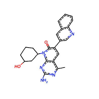 Cc1nc(N)nc2c1cc(-c1cnc3ccccc3c1)c(=O)n2C1CCCC(O)C1